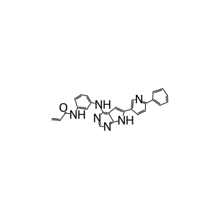 C=CC(=O)Nc1cccc(Nc2ncnc3[nH]c(-c4ccc(-c5ccccc5)nc4)cc23)c1